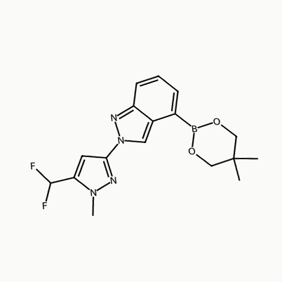 Cn1nc(-n2cc3c(B4OCC(C)(C)CO4)cccc3n2)cc1C(F)F